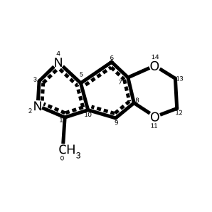 Cc1ncnc2cc3c(cc12)OCCO3